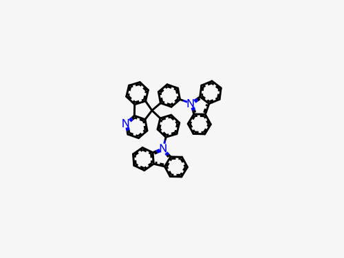 c1cc(-n2c3ccccc3c3ccccc32)cc(C2(c3cccc(-n4c5ccccc5c5ccccc54)c3)c3ccccc3-c3ncccc32)c1